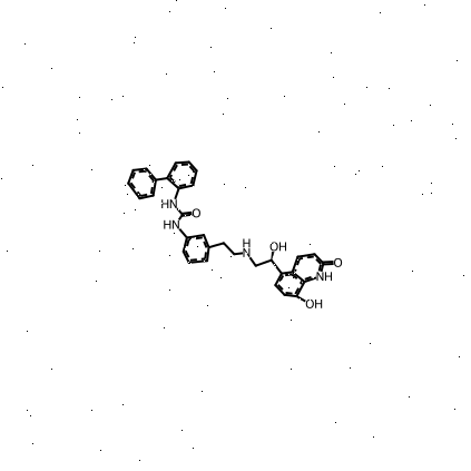 O=C(Nc1cccc(CCNC[C@@H](O)c2ccc(O)c3[nH]c(=O)ccc23)c1)Nc1ccccc1-c1ccccc1